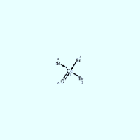 [O]=[Ce]([Br])([Br])[Br]